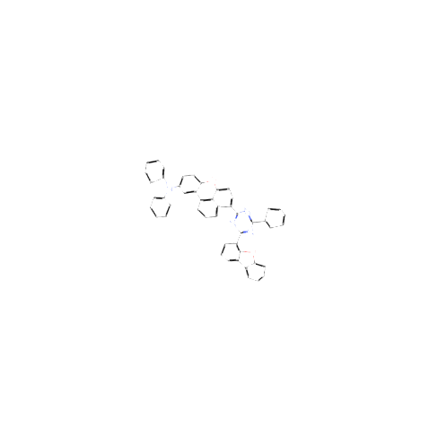 c1ccc(-c2nc(-c3ccc4c5c(cccc35)-c3cc(N(c5ccccc5)c5ccccc5)ccc3O4)nc(-c3cccc4c3oc3ccccc34)n2)cc1